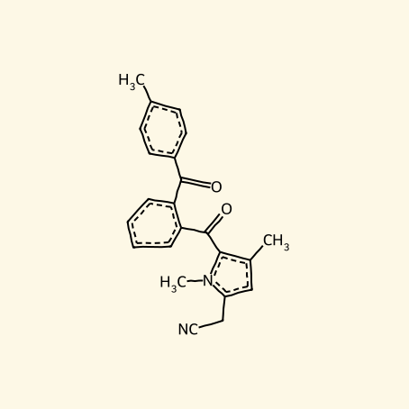 Cc1ccc(C(=O)c2ccccc2C(=O)c2c(C)cc(CC#N)n2C)cc1